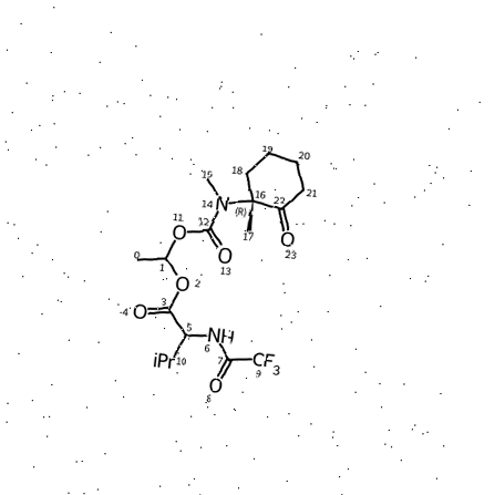 CC(OC(=O)C(NC(=O)C(F)(F)F)C(C)C)OC(=O)N(C)[C@]1(C)CCCCC1=O